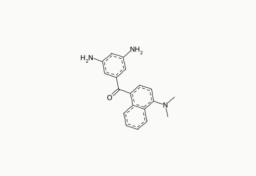 CN(C)c1ccc(C(=O)c2cc(N)cc(N)c2)c2ccccc12